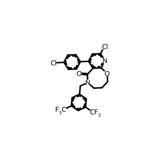 O=C1c2c(-c3ccc(Cl)cc3)cc(Cl)nc2OCCCN1Cc1cc(C(F)(F)F)cc(C(F)(F)F)c1